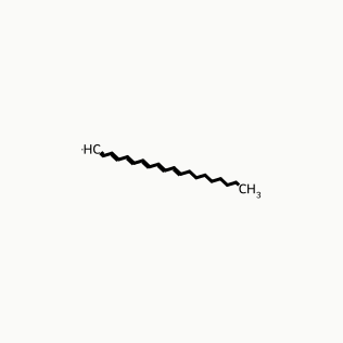 [CH]=C/C=C/C=C/C=C/C=C/C=C/CCCCCCCC